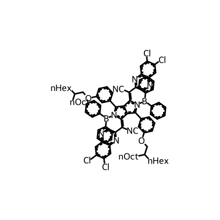 [C-]#[N+]/C(c1cnc2cc(Cl)c(Cl)cc2n1)=c1\c2c(-c3cccc(OCC(CCCCCC)CCCCCCCC)c3)n(B(c3ccccc3)c3ccccc3)/c(=C(/C#N)c3cnc4cc(Cl)c(Cl)cc4n3)c2c(-c2cccc(OCC(CCCCCC)CCCCCCCC)c2)n1B(c1ccccc1)c1ccccc1